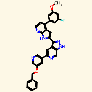 COc1cc(F)cc(-c2ccnc3[nH]c(-c4n[nH]c5cnc(-c6cncc(OCc7ccccc7)c6)cc45)cc23)c1